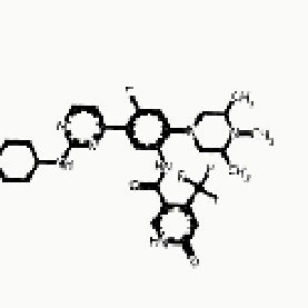 CC1CN(c2cc(F)c(-c3ccnc(NC4CCCCC4)n3)cc2NC(=O)c2c[nH]c(=O)cc2C(F)(F)F)CC(C)N1C